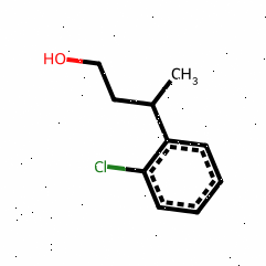 CC(CCO)c1ccccc1Cl